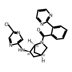 O=C(c1ccccc1-c1ncccn1)N1C[C@H]2C[C@@H](Nc3cnc(Cl)cn3)[C@@H]1C2